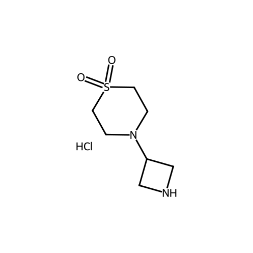 Cl.O=S1(=O)CCN(C2CNC2)CC1